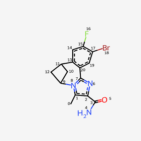 Cc1c(C(N)=O)nc2n1C1CC(C1)c1cc(F)c(Br)cc1-2